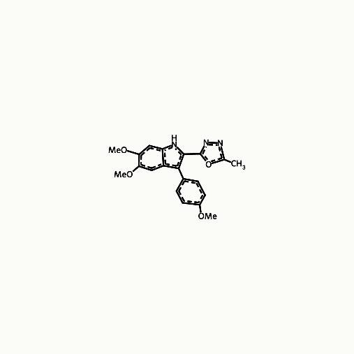 COc1ccc(-c2c(-c3nnc(C)o3)[nH]c3cc(OC)c(OC)cc23)cc1